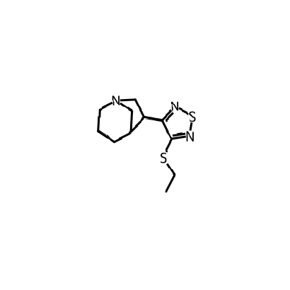 CCSc1nsnc1C1CN2CCCC1C2